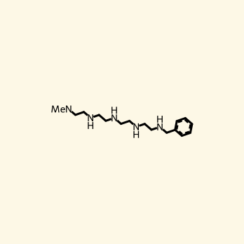 CNCCNCCNCCNCCNCc1ccccc1